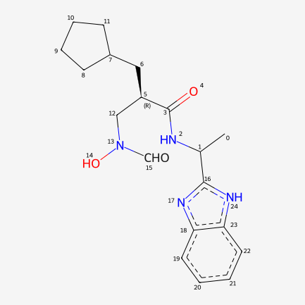 CC(NC(=O)[C@H](CC1CCCC1)CN(O)C=O)c1nc2ccccc2[nH]1